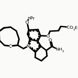 CCCOc1cc(OCCCC(=O)OCC)c2c3c(n(CC4CCCCCCCC4)c2c1)CCCC3C(N)=O